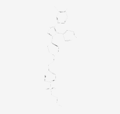 COCCS(=O)(=O)c1ccc(CCN2CC=C(c3c[nH]c(-c4ccc(F)c(Cl)c4)c3-c3ccncc3)CC2)cc1